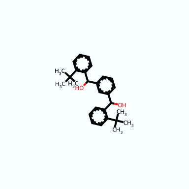 CC(C)(C)c1ccccc1C(O)c1cccc(C(O)c2ccccc2C(C)(C)C)c1